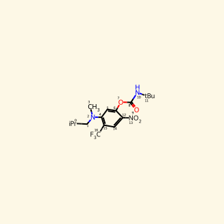 CC(C)CN(C)c1cc(OC(=O)NC(C)(C)C)c([N+](=O)[O-])cc1C(F)(F)F